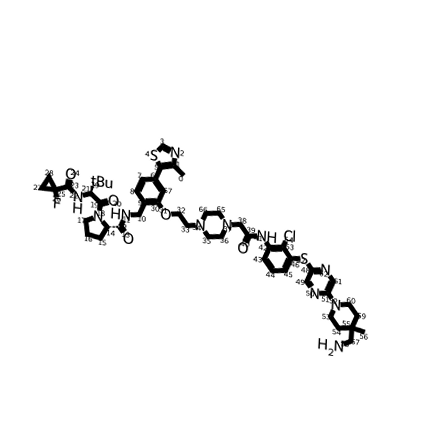 Cc1ncsc1-c1ccc(CNC(=O)[C@@H]2CCCN2C(=O)[C@@H](NC(=O)C2(F)CC2)C(C)(C)C)c(OCCN2CCN(CC(=O)Nc3cccc(Sc4cnc(N5CCC(C)(CN)CC5)cn4)c3Cl)CC2)c1